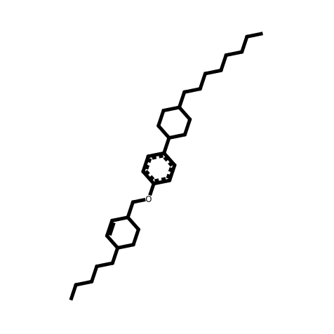 CCCCCCCCC1CCC(c2ccc(OCC3C=CC(CCCCC)CC3)cc2)CC1